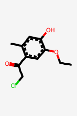 CCOc1cc(C(=O)CCl)c(C)cc1O